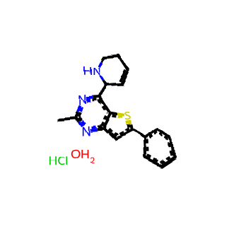 Cc1nc(C2C=CCCN2)c2sc(-c3ccccc3)cc2n1.Cl.O